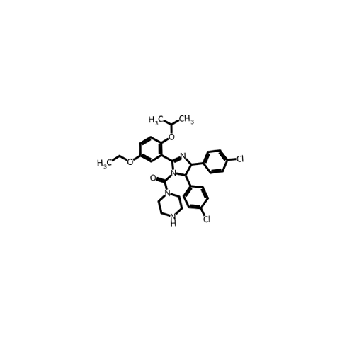 CCOc1ccc(OC(C)C)c(C2=NC(c3ccc(Cl)cc3)C(c3ccc(Cl)cc3)N2C(=O)N2CCNCC2)c1